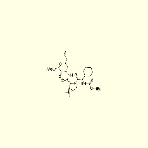 C=CCCCC(NC(=O)[C@@H]1C2C(CN1C(=O)[C@@H](NC(=O)OC(C)(C)C)C1CCCCC1)C2(C)C)C(=O)C(=O)OC